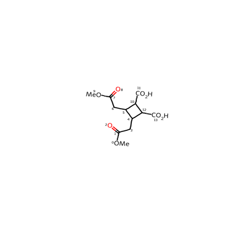 COC(=O)CC1C(CC(=O)OC)C(C(=O)O)C1C(=O)O